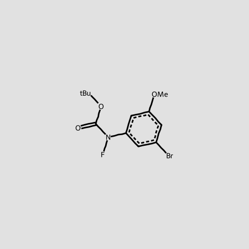 COc1cc(Br)cc(N(F)C(=O)OC(C)(C)C)c1